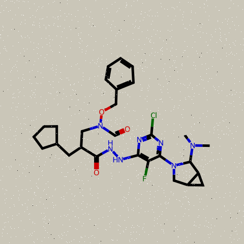 CN(C)C1C2CC2CN1c1nc(Cl)nc(NNC(=O)C(CC2CCCC2)CN(C=O)OCc2ccccc2)c1F